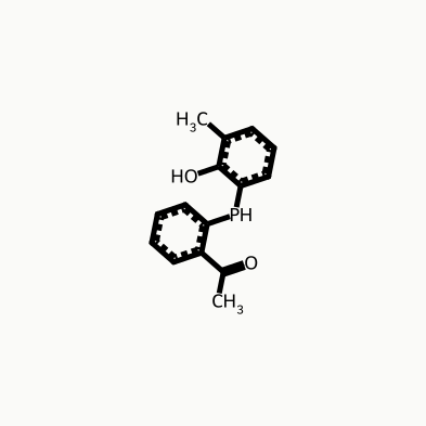 CC(=O)c1ccccc1Pc1cccc(C)c1O